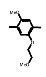 COCCOc1cc(C)c(OC)cc1C